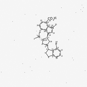 CN(C)[C@H]1CN(C2CCc3cccc(F)c32)C[C@@H]1c1cn(C)c2c(C(=O)O)cccc12